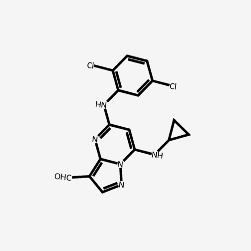 O=Cc1cnn2c(NC3CC3)cc(Nc3cc(Cl)ccc3Cl)nc12